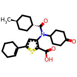 C[C@H]1CC[C@H](C(=O)N(c2cc(C3=CCCCC3)sc2C(=O)O)C2CCC(=O)CC2)CC1